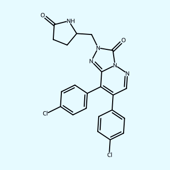 O=C1CCC(Cn2nc3c(-c4ccc(Cl)cc4)c(-c4ccc(Cl)cc4)cnn3c2=O)N1